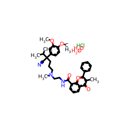 COc1ccc(C(C#N)(CCCN(C)CCNC(=O)c2cccc3c(=O)c(C)c(-c4ccccc4)oc23)C(C)C)cc1OC.Cl.O.O